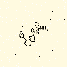 NC(N)=NC(=O)c1ccc2c(c1)C(c1ccoc1)=CCC2